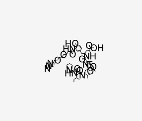 CCC(C)C(NC(=O)[C@H]1CCCCN1C)C(=O)N(C)C(CC(OC(C)=O)c1nc(C(=O)NC(Cc2ccc(O)c(NC(=O)CCOCCOCCN=[N+]=[N-])c2)CC(C)C(=O)O)cs1)C(C)C